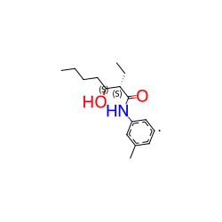 CCCC[C@H](O)[C@H](CC)C(=O)Nc1c[c]cc(C)c1